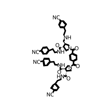 N#Cc1ccc(CCNC[C@H]2CN(C(=O)c3ccc(C(=O)N4C[C@H](C(=O)NCCc5ccc(C#N)cc5)[C@@H](C(=O)NCCc5ccc(C#N)cc5)C4)cc3)C[C@@H]2C(=O)NCCc2ccc(C#N)cc2)cc1